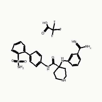 N=C(N)c1cccc(NC2(C(=O)Nc3ccc(-c4ccccc4S(N)(=O)=O)cc3)CCNCC2)c1.O=C(O)C(F)(F)F